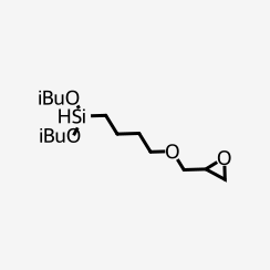 CC(C)CO[SiH](CCCCOCC1CO1)OCC(C)C